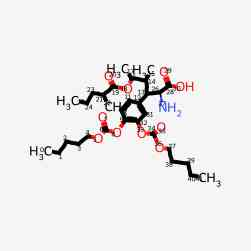 CCCCCOC(=O)Oc1ccc(C(C(C)C(C)OC(=O)C(C)CCC)[C@H](N)C(=O)O)cc1OC(=O)OCCCCC